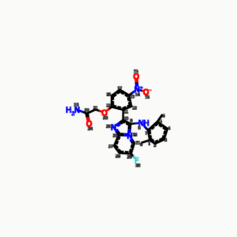 Cc1cccc(C)c1Nc1c(-c2cc([N+](=O)[O-])ccc2OCC(N)=O)nc2ccc(F)cn12